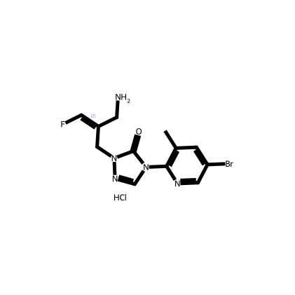 Cc1cc(Br)cnc1-n1cnn(C/C(=C\F)CN)c1=O.Cl